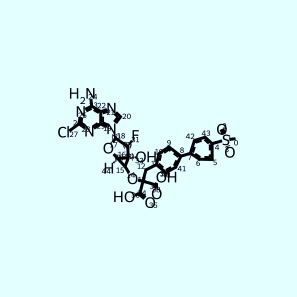 CS(=O)(=O)c1ccc(-c2ccc(CC(OC3[C@H]4O[C@@H](n5cnc6c(N)nc(Cl)nc65)[C@@H](F)[C@@]34O)(C(=O)O)C(=O)O)cc2)cc1